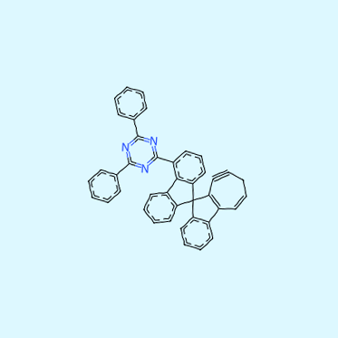 C1#CC2=C(C=CC1)c1ccccc1C21c2ccccc2-c2c(-c3nc(-c4ccccc4)nc(-c4ccccc4)n3)cccc21